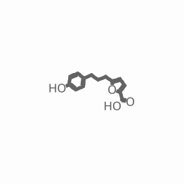 O=C(O)c1ccc(CCCc2ccc(O)cc2)o1